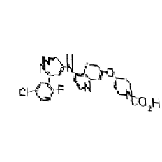 O=C(O)N1CCC(Oc2ccc3c(Nc4cnnc(-c5cc(Cl)ccc5F)c4)ccnc3c2)CC1